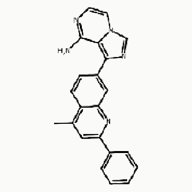 Cc1cc(-c2ccccc2)nc2cc(-c3ncn4ccnc(N)c34)ccc12